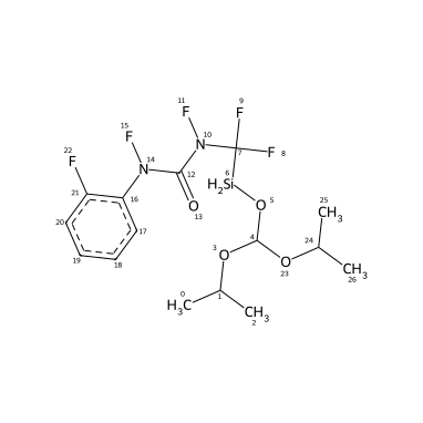 CC(C)OC(O[SiH2]C(F)(F)N(F)C(=O)N(F)c1ccccc1F)OC(C)C